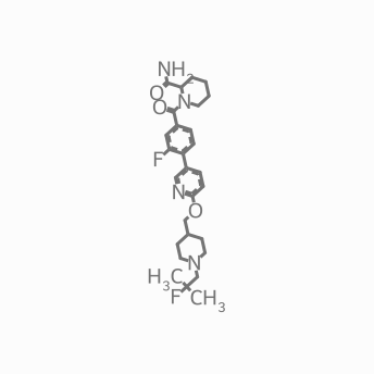 CC(C)(F)CN1CCC(COc2ccc(-c3ccc(C(=O)N4CCCCC4C(N)=O)cc3F)cn2)CC1